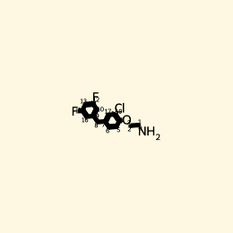 NCCOc1ccc(Cc2cc(F)cc(F)c2)cc1Cl